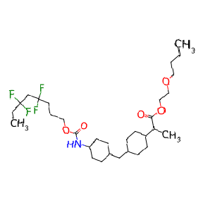 CCCCOCCOC(=O)C(C)C1CCC(CC2CCC(NC(=O)OCCCC(F)(F)CC(F)(F)CC)CC2)CC1